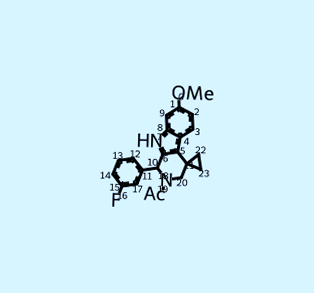 COc1ccc2c3c([nH]c2c1)C(c1cccc(F)c1)N(C(C)=O)CC31CC1